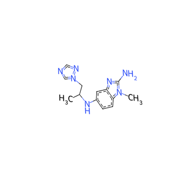 CC(Cn1cncn1)Nc1ccc2c(c1)nc(N)n2C